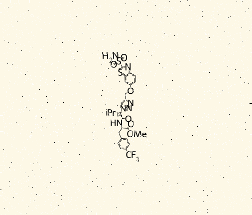 COC(=O)C(Cc1ccc(C(F)(F)F)cc1)NC(=O)[C@H](C(C)C)n1cc(COc2ccc3nc(S(N)(=O)=O)sc3c2)nn1